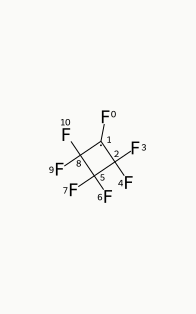 F[C]1C(F)(F)C(F)(F)C1(F)F